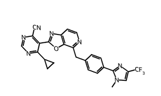 Cn1cc(C(F)(F)F)nc1-c1ccc(Cc2nccc3nc(-c4c(C#N)ncnc4C4CC4)oc23)cc1